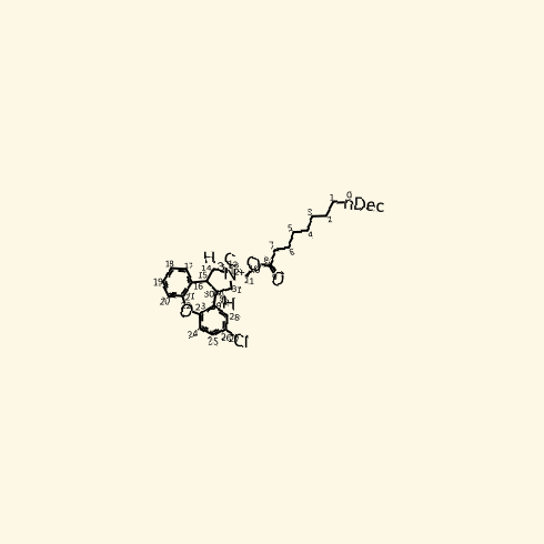 CCCCCCCCCCCCCCCCCC(=O)OC[N+]1(C)CC2c3ccccc3Oc3ccc(Cl)cc3[C@@H]2C1